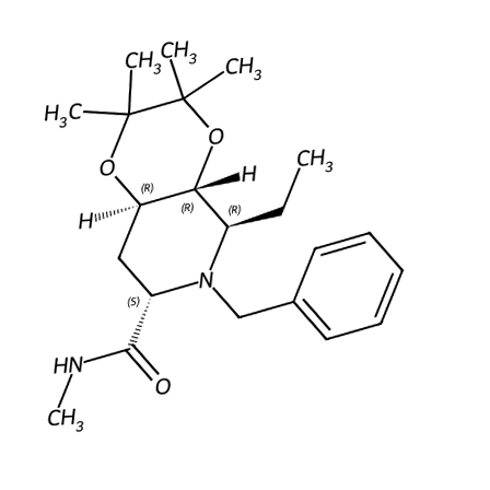 CC[C@@H]1[C@H]2OC(C)(C)C(C)(C)O[C@@H]2C[C@@H](C(=O)NC)N1Cc1ccccc1